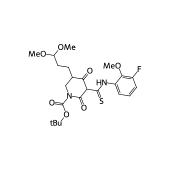 COc1c(F)cccc1NC(=S)C1C(=O)C(CCC(OC)OC)CN(C(=O)OC(C)(C)C)C1=O